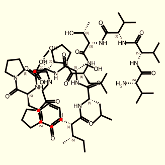 CC[C@H](C)[C@H](NC(=O)[C@@H]1CCCN1C(=O)CNC(=O)[C@@H]1CCCN1C(=O)[C@H](CC(C)C)NC(=O)[C@@H](NC(=O)[C@@H](NC(=O)[C@@H](NC(=O)[C@@H](N)C(C)C)C(C)C)C(C)C)[C@@H](C)O)C(=O)N[C@@H](CC(C)C)C(=O)N[C@@H](CO)C(=O)N[C@@H](CO)C(=O)N[C@@H](Cc1ccccc1)C(=O)N1CCC[C@H]1C(=O)O